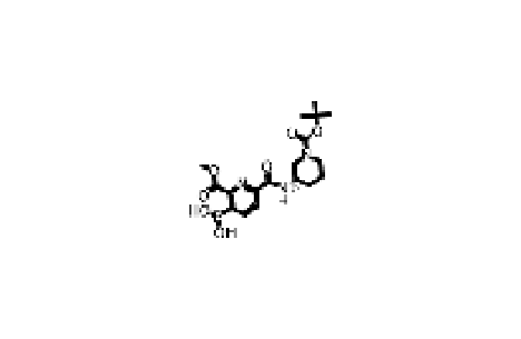 COC(=O)c1nc(C(=O)N[C@H]2CCCN(C(=O)OC(C)(C)C)C2)ccc1B(O)O